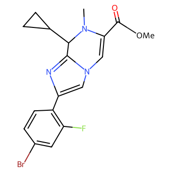 COC(=O)C1=Cn2cc(-c3ccc(Br)cc3F)nc2C(C2CC2)N1C